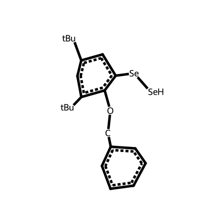 CC(C)(C)c1cc([Se][SeH])c(OCc2ccccc2)c(C(C)(C)C)c1